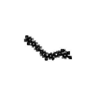 CC1CC2(CCN(c3ccc(C(=O)N4CCC5(CC4)CC(N4CCN(c6ccc(N7CCC(=O)NC7=O)cc6)CC4)C5)cc3F)CC2)CN1c1ccc(C#N)c(Cl)c1